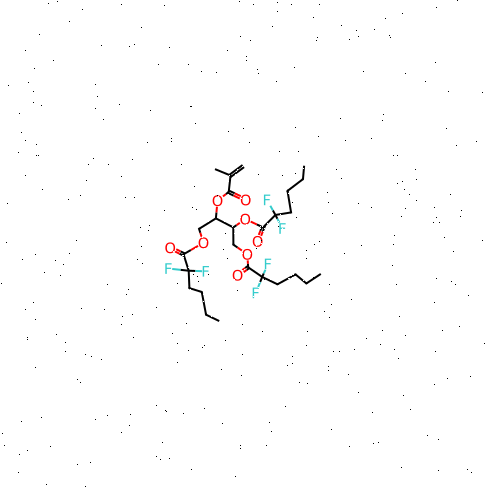 C=C(C)C(=O)OC(COC(=O)C(F)(F)CCCC)C(COC(=O)C(F)(F)CCCC)OC(=O)C(F)(F)CCCC